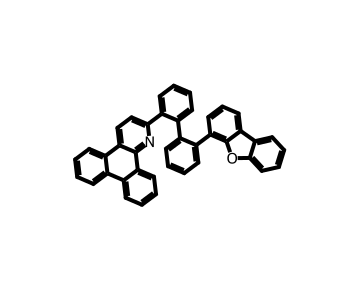 c1ccc(-c2ccccc2-c2cccc3c2oc2ccccc23)c(-c2ccc3c4ccccc4c4ccccc4c3n2)c1